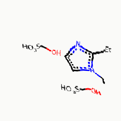 CCc1nccn1C.O=S(=O)(O)O.O=S(=O)(O)O